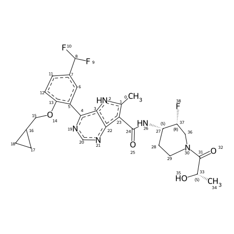 Cc1[nH]c2c(-c3cc(C(F)F)ccc3OCC3CC3)ncnc2c1C(=O)N[C@H]1CCN(C(=O)[C@H](C)O)C[C@H]1F